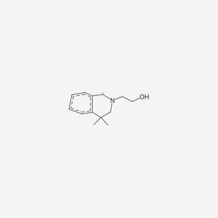 CC1(C)CN(CCO)[C]c2ccccc21